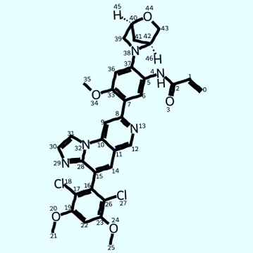 C=CC(=O)Nc1cc(-c2cc3c(cn2)cc(-c2c(Cl)c(OC)cc(OC)c2Cl)c2nccn23)c(OC)cc1N1C[C@@H]2C[C@H]1CO2